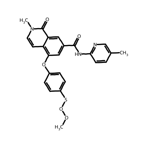 COOSc1ccc(Oc2cc(C(=O)Nc3ccc(C)cn3)cc3c(=O)n(C)ccc23)cc1